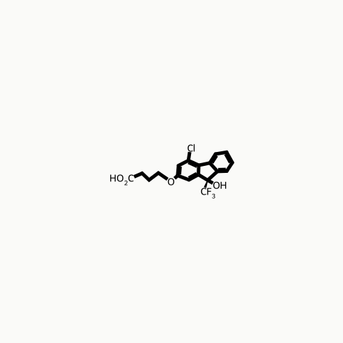 O=C(O)CCCOc1cc(Cl)c2c(c1)[C@](O)(C(F)(F)F)c1ccccc1-2